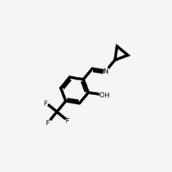 Oc1cc(C(F)(F)F)ccc1C=NC1CC1